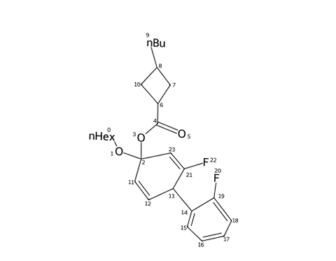 CCCCCCOC1(OC(=O)C2CC(CCCC)C2)C=CC(c2ccccc2F)C(F)=C1